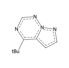 CC(C)(C)c1ncnn2nccc12